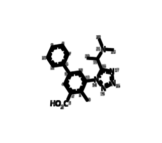 Cc1c(C(=O)O)cc(-c2ccccc2)cc1-n1nnnc1C(C)N(C)C